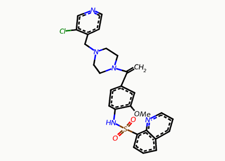 C=C(c1ccc(NS(=O)(=O)c2cccc3cccnc23)c(OC)c1)N1CCN(Cc2ccncc2Cl)CC1